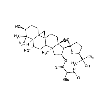 CCCCC(NCl)C(=O)O[C@H]1C[C@@]2(C)C3C[C@H](O)[C@H]4C(C)(C)[C@@H](O)CC[C@@]45C[C@@]35CC[C@]2(C)[C@H]1[C@@]1(C)CC[C@@H](C(C)(C)O)O1